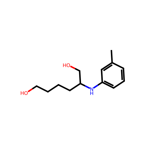 Cc1cccc(NC(CO)CCCCO)c1